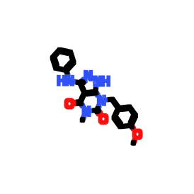 COc1ccc(Cn2c(=O)n(C)c(=O)c3c(Nc4ccccc4)n[nH]c32)cc1